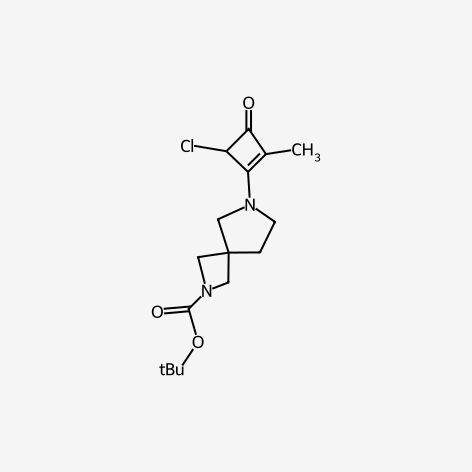 CC1=C(N2CCC3(CN(C(=O)OC(C)(C)C)C3)C2)C(Cl)C1=O